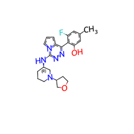 Cc1cc(O)c(-c2nnc(N[C@@H]3CCCN(C4CCOC4)C3)n3cccc23)c(F)c1